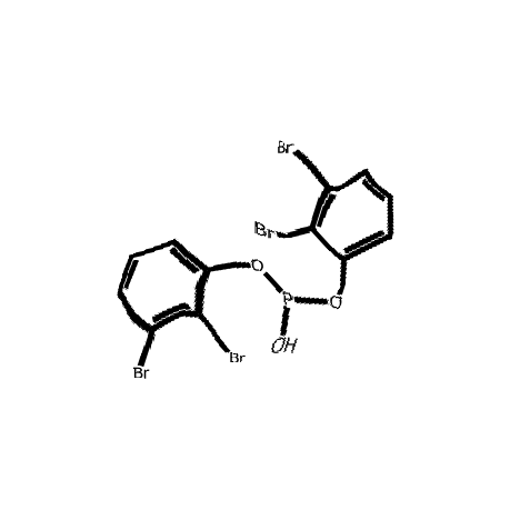 OP(Oc1cccc(Br)c1Br)Oc1cccc(Br)c1Br